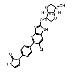 O=c1[nH]ccn1-c1ccc(-c2nc3nc(O[C@@H]4CO[C@H]5[C@@H]4OC[C@H]5O)[nH]c3cc2Cl)cc1